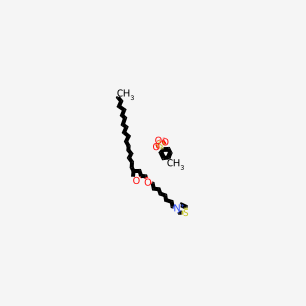 CCCCCCCCCCCCCCCCCCC1COC(COCCCCCCCC[n+]2ccsc2)C1.Cc1ccc(S(=O)(=O)[O-])cc1